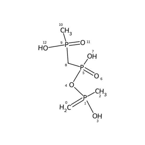 C=P(C)(O)OP(=O)(O)CP(C)(=O)O